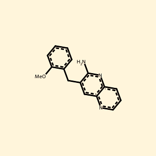 COc1ccccc1Cc1cc2ncccc2nc1N